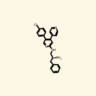 N[C@H](CNc1cc(-c2ccncc2)c(-c2ccc(Cl)cc2)cn1)Cc1ccccc1